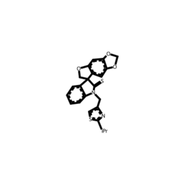 CC(C)c1nc(CN2C(=S)C3(COc4cc5c(cc43)OCO5)c3ccccc32)cs1